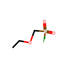 CCOCS(=O)(=O)F